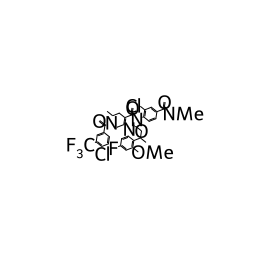 CNC(=O)c1ccc(-n2c(OC(C)c3ccc(F)cc3OC)nc3c(c2=O)CC(C)N(C(=O)c2ccc(Cl)c(C(F)(F)F)c2)C3)c(Cl)c1